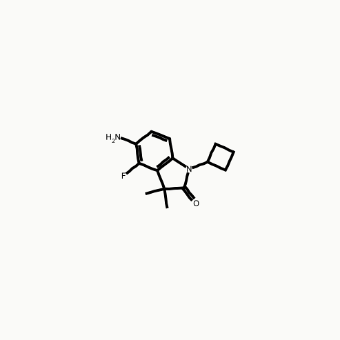 CC1(C)C(=O)N(C2CCC2)c2ccc(N)c(F)c21